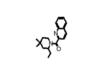 CCC1CC(C)(C)CCN1C(=O)c1ccc2ccccc2n1